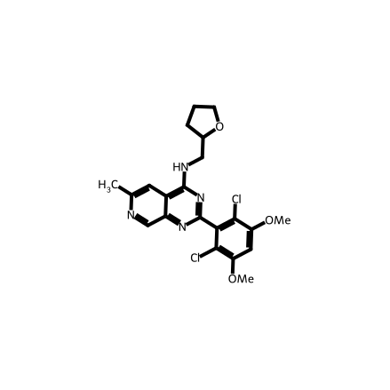 COc1cc(OC)c(Cl)c(-c2nc(NCC3CCCO3)c3cc(C)ncc3n2)c1Cl